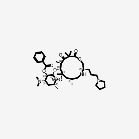 CO[C@]1(C)C[C@@H](C)CN[C@H](CCCN2CCCC2)COC(=O)C(C)(C)C(=O)[C@H](C)[C@H]1O[C@@H]1O[C@H](C)C[C@H](N(C)C)[C@H]1OC(=O)c1ccccc1